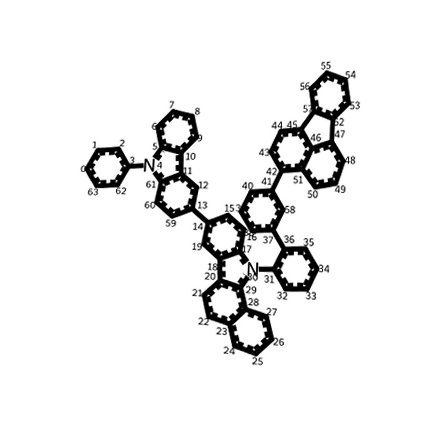 c1ccc(-n2c3ccccc3c3cc(-c4ccc5c(c4)c4ccc6ccccc6c4n5-c4ccccc4-c4cccc(-c5ccc6c7c(cccc57)-c5ccccc5-6)c4)ccc32)cc1